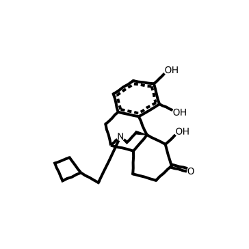 O=C1CCC2C3Cc4ccc(O)c(O)c4[C@]2(CCN3CC2CCC2)C1O